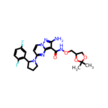 CC1(C)OCC(CONC(=O)c2c(N)nn3ccc(N4CCCC4c4cc(F)ccc4F)nc23)O1